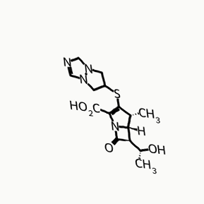 C[C@@H](O)[C@H]1C(=O)N2C(C(=O)O)=C(SC3CN4C=NCN4C3)[C@H](C)[C@H]12